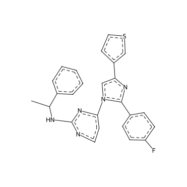 CC(Nc1nccc(-n2cc(-c3ccsc3)nc2-c2ccc(F)cc2)n1)c1ccccc1